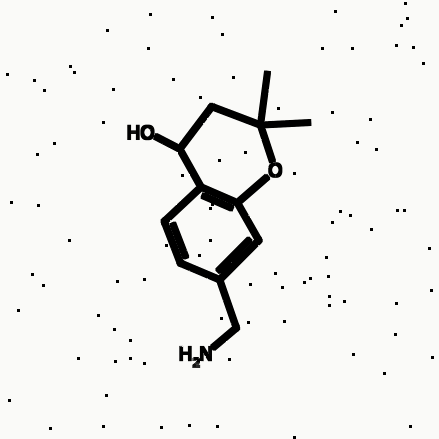 CC1(C)CC(O)c2ccc(CN)cc2O1